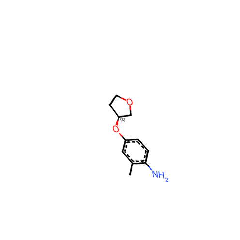 Cc1cc(O[C@H]2CCOC2)ccc1N